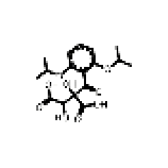 CC(C)Oc1cccc(OC(C)C)c1C(=O)C(O)(C(=O)O)C(O)C(=O)O